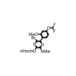 CCCCCOc1nc(Br)c(-c2ccc(OC(F)F)cc2OC)nc1NC